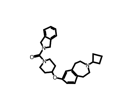 O=C(N1CCC(Oc2ccc3c(c2)CCN(C2CCC2)CC3)CC1)N1Cc2ccccc2C1